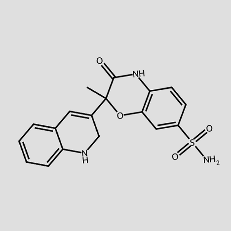 CC1(C2=Cc3ccccc3NC2)Oc2cc(S(N)(=O)=O)ccc2NC1=O